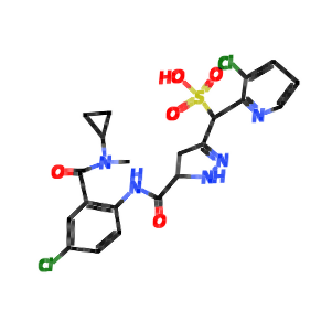 CN(C(=O)c1cc(Cl)ccc1NC(=O)C1CC(C(c2ncccc2Cl)S(=O)(=O)O)=NN1)C1CC1